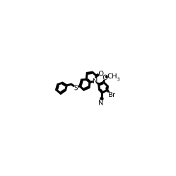 COc1cc(Br)c(C#N)cc1-n1c(=O)ccc2cc(SCc3ccccc3)ccc21